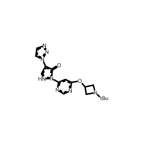 CC(C)(C)N1CC(Oc2cc(-n3[nH]cc(-n4ccnn4)c3=O)ncn2)C1